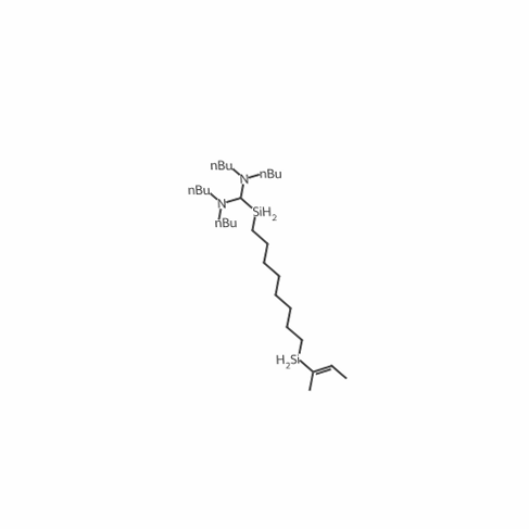 CC=C(C)[SiH2]CCCCCCCC[SiH2]C(N(CCCC)CCCC)N(CCCC)CCCC